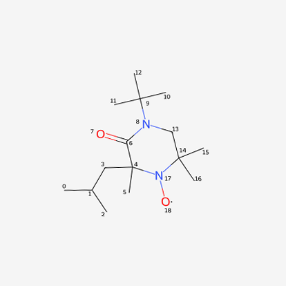 CC(C)CC1(C)C(=O)N(C(C)(C)C)CC(C)(C)N1[O]